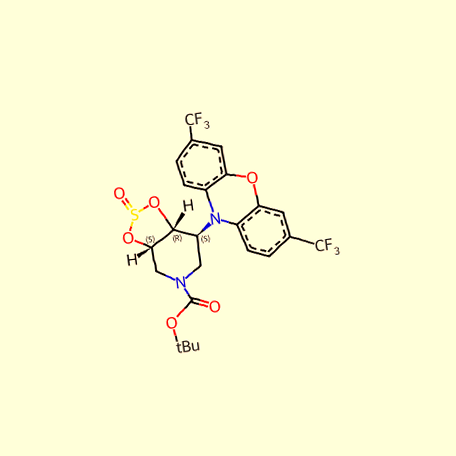 CC(C)(C)OC(=O)N1C[C@@H]2OS(=O)O[C@@H]2[C@@H](N2c3ccc(C(F)(F)F)cc3Oc3cc(C(F)(F)F)ccc32)C1